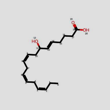 CC/C=C\C/C=C\C/C=C\CC(O)/C=C/CCCC(=O)O